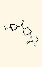 COc1ccc(C(=O)C2CCN([C@@H]3CCNC3=O)CC2)cc1